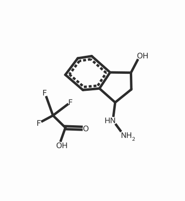 NNC1CC(O)c2ccccc21.O=C(O)C(F)(F)F